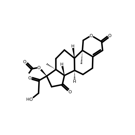 CC(=O)O[C@]1(C(=O)CO)CC(=O)[C@H]2[C@@H]3CCC4=CC(=O)OC[C@]4(C)[C@H]3CC[C@@]21C